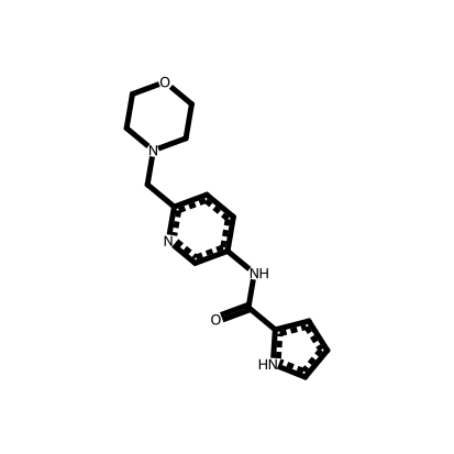 O=C(Nc1ccc(CN2CCOCC2)nc1)c1ccc[nH]1